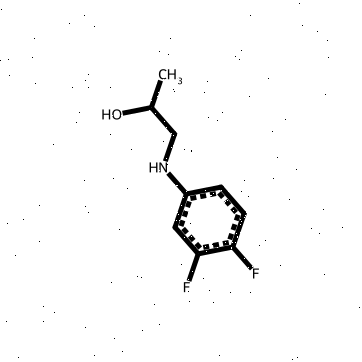 C[C](O)CNc1ccc(F)c(F)c1